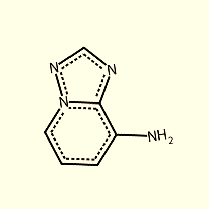 Nc1cccn2ncnc12